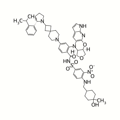 CC(C)c1ccccc1[C@@H]1CCCN1C1CC2(CCN(c3ccc(C(=O)NS(=O)(=O)c4ccc(NCC5CCC(C)(O)CC5)c([N+](=O)[O-])c4)c(N4c5cc6cc[nH]c6nc5O[C@H]5COC[C@H]54)c3)CC2)C1